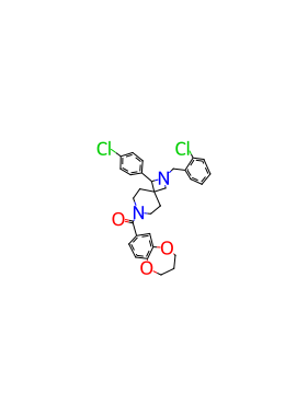 O=C(c1ccc2c(c1)OCCCO2)N1CCC2(CC1)CN(Cc1ccccc1Cl)C2c1ccc(Cl)cc1